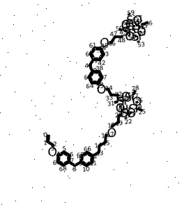 C=CCOc1ccc(Cc2ccc(CCCCOCCC[Si]3(C)O[SiH](C)O[SiH](C)O[Si](C)(CCCOc4ccc(Cc5ccc(OCCC[Si]6(C)O[SiH](C)O[SiH](C)O[SiH](C)O6)cc5)cc4)O3)cc2)cc1